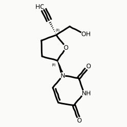 C#C[C@@]1(CO)CC[C@H](n2ccc(=O)[nH]c2=O)O1